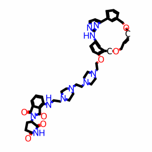 O=C1CCC(N2C(=O)c3cccc(NCCN4CCN(CCN5CCN(CCOc6ccc7cc6COC/C=C/COCc6cccc(c6)-c6ccnc(n6)N7)CC5)CC4)c3C2=O)C(=O)N1